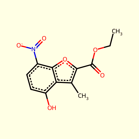 CCOC(=O)c1oc2c([N+](=O)[O-])ccc(O)c2c1C